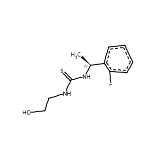 C[C@H](NC(=S)NCCO)c1ccccc1F